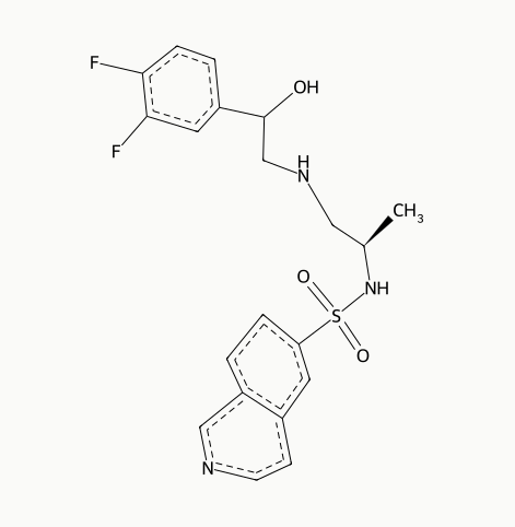 C[C@H](CNCC(O)c1ccc(F)c(F)c1)NS(=O)(=O)c1ccc2cnccc2c1